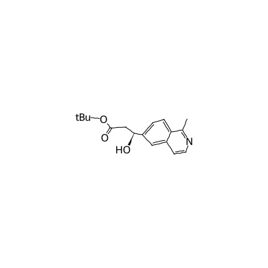 Cc1nccc2cc([C@@H](O)CC(=O)OC(C)(C)C)ccc12